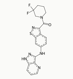 O=C(c1nsc2cc(Nc3n[nH]c4cccnc34)ccc12)N1CCCC(F)(F)C1